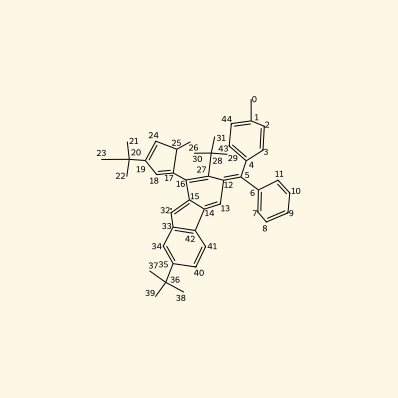 Cc1ccc(C(c2ccccc2)=c2cc3c(c(C4=CC(C(C)(C)C)=CC4C)c2C(C)(C)C)=[C]c2cc(C(C)(C)C)ccc2-3)cc1